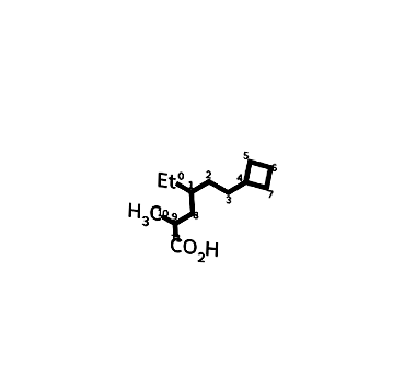 CCC(CCC1CCC1)CC(C)C(=O)O